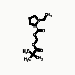 CCN1CCC[C@H]1C(=O)OCOC(=O)C(C)(C)C